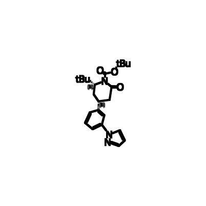 CC(C)(C)OC(=O)N1C(=O)C[C@H](c2cccc(-n3cccn3)c2)C[C@@H]1C(C)(C)C